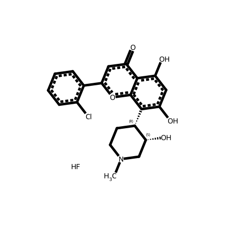 CN1CC[C@H](c2c(O)cc(O)c3c(=O)cc(-c4ccccc4Cl)oc23)[C@H](O)C1.F